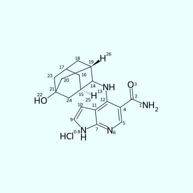 Cl.NC(=O)c1cnc2[nH]ccc2c1NC1[C@@H]2CC3C[C@H]1CC(O)(C3)C2